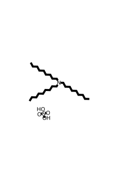 CCCCCCCCCN(CCCCCCCCC)CCCCCCCCC.O=S(=O)(O)O